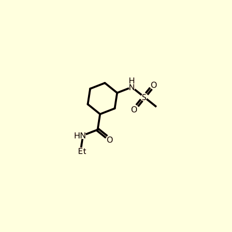 CCNC(=O)C1CCCC(NS(C)(=O)=O)C1